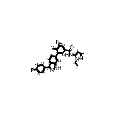 CCn1nccc1NC(=O)c1cc(F)c(C)c(-c2ccc3c(-c4ccc(F)cc4)n[nH]c3c2)c1